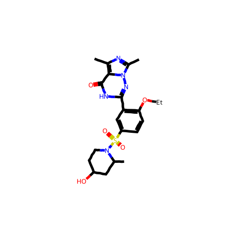 CCOc1ccc(S(=O)(=O)N2CCC(O)CC2C)cc1-c1nn2c(C)nc(C)c2c(=O)[nH]1